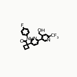 O=C(Nc1ccc(F)cc1)C1(c2ccc(-c3cnc(C(F)(F)F)cc3CO)nc2)CCC1